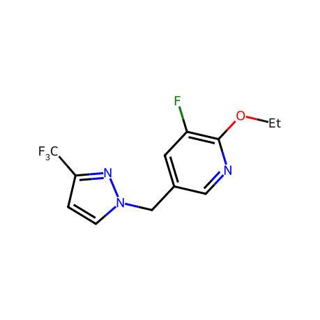 CCOc1ncc(Cn2ccc(C(F)(F)F)n2)cc1F